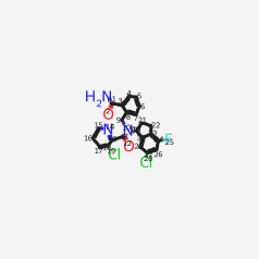 NC(=O)c1ccccc1CN(C(=O)c1ncccc1Cl)[C@@H]1CCc2c(F)cc(Cl)cc21